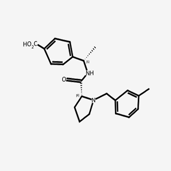 Cc1cccc(CN2CCC[C@@H]2C(=O)N[C@@H](C)c2ccc(C(=O)O)cc2)c1